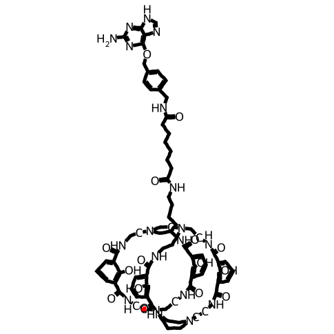 Nc1nc(OCc2ccc(CNC(=O)CCCCCCC(=O)NCCCCC3CN4CCNC(=O)c5cccc(c5O)C(=O)NCCN(CCNC(=O)c5cccc(c5O)C(=O)N3)CCN3CCNC(=O)c5cccc(c5O)C(=O)NCCN(CCNC(=O)c5cccc(c5O)C(=O)NCC3)CC4)cc2)c2nc[nH]c2n1